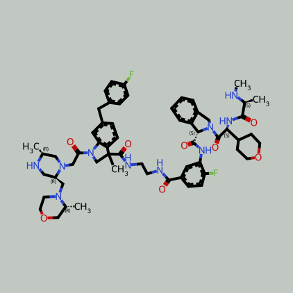 CN[C@@H](C)C(=O)N[C@H](C(=O)N1Cc2ccccc2[C@H]1C(=O)Nc1cc(C(=O)NCCNC(=O)C2(C)CN(C(=O)CN3C[C@@H](C)NC[C@@H]3CN3CCOC[C@H]3C)c3cc(Cc4ccc(F)cc4)ccc32)ccc1F)C1CCOCC1